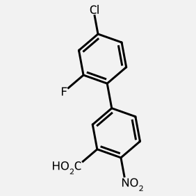 O=C(O)c1cc(-c2ccc(Cl)cc2F)ccc1[N+](=O)[O-]